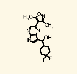 Cc1noc(C)c1-c1cnc2[nH]cc(C(O)C3CCC(F)(F)CC3)c2n1